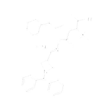 CC(C)(C)C(C(=O)O)[C@@H](CCCC1CCCCC1)C(=O)ON=C(N)C1CN(C(c2ccccc2)c2ccccc2)C1